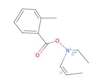 C/C=C\[N+](=C/C)OC(=O)c1ccccc1C